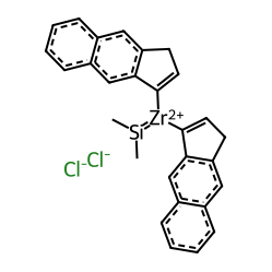 C[Si](C)=[Zr+2]([C]1=CCc2cc3ccccc3cc21)[C]1=CCc2cc3ccccc3cc21.[Cl-].[Cl-]